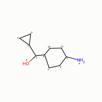 NC1CCC(C(O)C2CC2)CC1